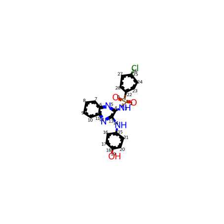 O=S(=O)(Nc1nc2ccccc2nc1Nc1ccc(O)cc1)c1ccc(Cl)cc1